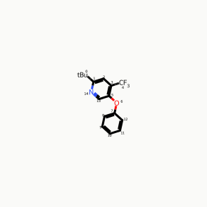 CC(C)(C)c1cc(C(F)(F)F)c(Oc2ccccc2)cn1